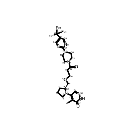 Cc1c(N2CCC[C@H]2COCCC(=O)N2CCN(c3ncc(C(F)(F)F)cn3)CC2)cn[nH]c1=O